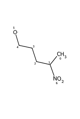 CC(CCC[O])[N+](=O)[O-]